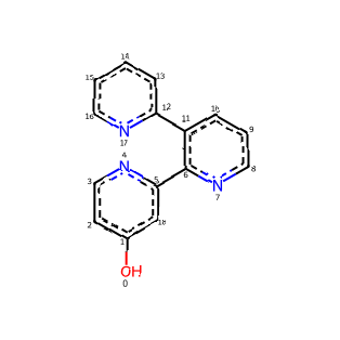 Oc1ccnc(-c2ncccc2-c2ccccn2)c1